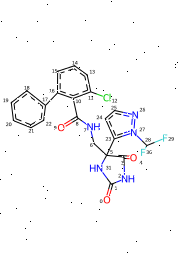 O=C1NC(=O)C(CNC(=O)c2c(Cl)cccc2-c2ccccc2)(c2ccnn2C(F)F)N1